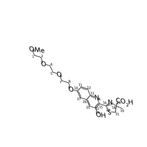 COCCOCCOCCOc1ccc2nc(C3=N[C@@](C)(C(=O)O)CS3)c(O)cc2c1